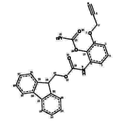 C#CCOc1cccc(NC(=O)OCC2c3ccccc3-c3ccccc32)c1OC(=O)CCC